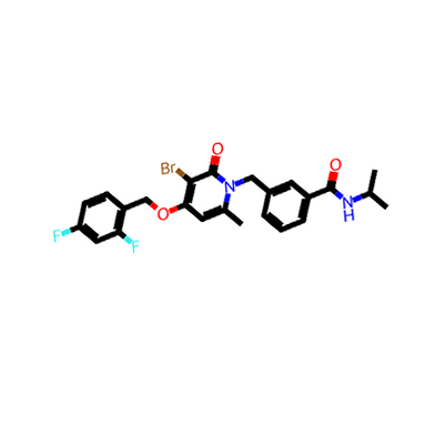 Cc1cc(OCc2ccc(F)cc2F)c(Br)c(=O)n1Cc1cccc(C(=O)NC(C)C)c1